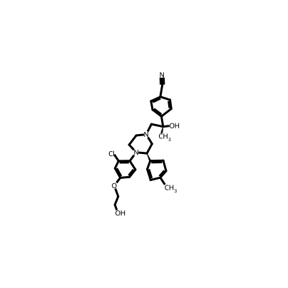 Cc1ccc([C@@H]2CN(C[C@@](C)(O)c3ccc(C#N)cc3)CCN2c2ccc(OCCO)cc2Cl)cc1